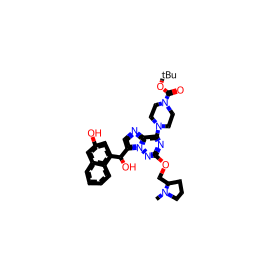 CN1CCCC1COc1nc(N2CCN(C(=O)OC(C)(C)C)CC2)c2ncc(C(O)c3cc(O)cc4ccccc34)n2n1